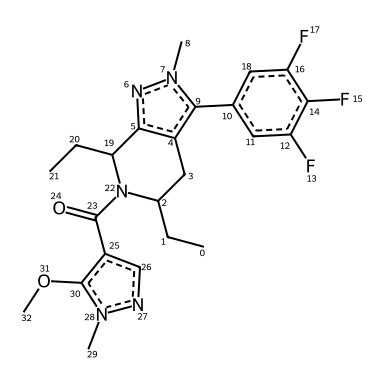 CCC1Cc2c(nn(C)c2-c2cc(F)c(F)c(F)c2)C(CC)N1C(=O)c1cnn(C)c1OC